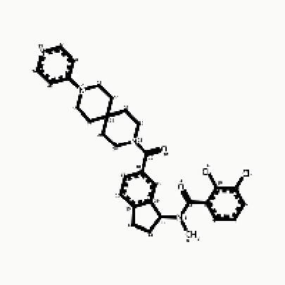 CN(C(=O)c1cccc(Cl)c1Cl)C1CCc2ccc(C(=O)N3CCC4(CC3)CCN(c3ccncc3)CC4)cc21